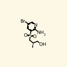 C[C@H](CO)CS(=O)(=O)c1cc(Br)cnc1N